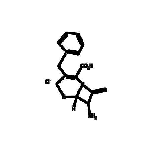 NC1C(=O)N2C(C(=O)O)=C(C[n+]3ccccc3)CS[C@@H]12.[Cl-]